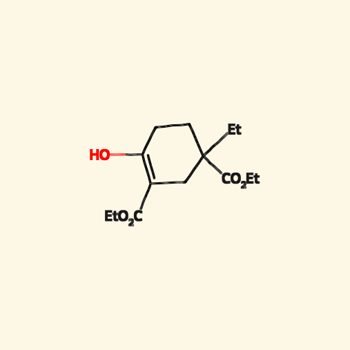 CCOC(=O)C1=C(O)CCC(CC)(C(=O)OCC)C1